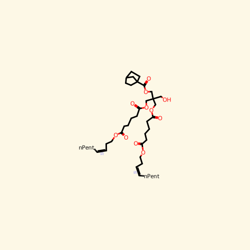 CCCCC/C=C\CCOC(=O)CCCCC(=O)OCC(CO)(COC(=O)CCCCC(=O)OCC/C=C\CCCCC)COC(=O)C12CCC(CC1)C2